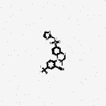 C[C@@H]1COc2cc(S(=O)(=O)Nc3nccs3)ccc2N1c1ccc(C(F)(F)F)cc1C#N